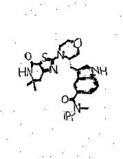 CC(C)N(C)C(=O)c1ccc2[nH]cc(C[C@H]3COCCN3c3nc4c(s3)C(=O)NC(C)(C)C4)c2c1